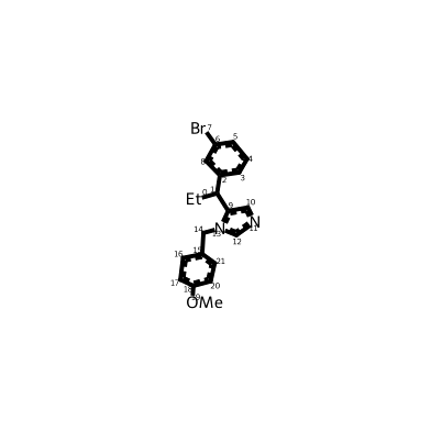 [CH2]CC(c1cccc(Br)c1)c1cncn1Cc1ccc(OC)cc1